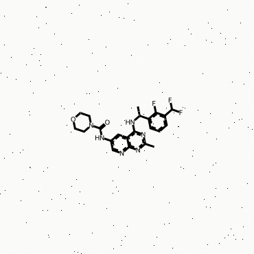 Cc1nc(NC(C)c2cccc(C(F)F)c2F)c2cc(NC(=O)N3CCOCC3)cnc2n1